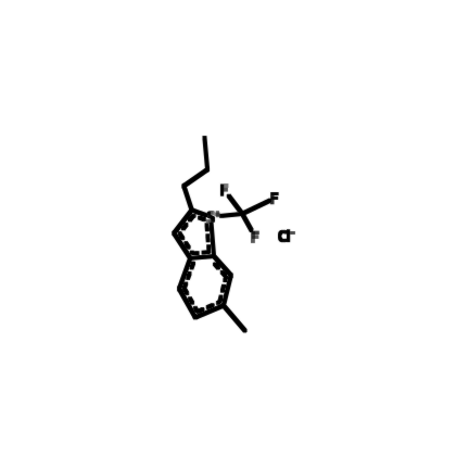 CCCc1cc2ccc(C)cc2[s+]1C(F)(F)F.[Cl-]